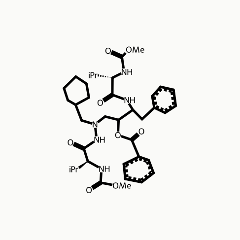 COC(=O)N[C@H](C(=O)NC(Cc1ccccc1)C(CN(CC1CCCCC1)NC(=O)[C@@H](NC(=O)OC)C(C)C)OC(=O)c1ccccc1)C(C)C